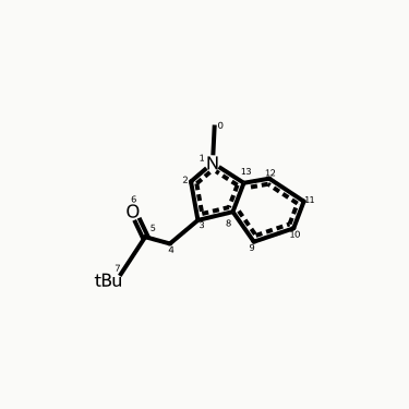 Cn1cc(CC(=O)C(C)(C)C)c2ccccc21